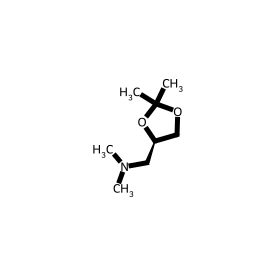 CN(C)C[C@@H]1COC(C)(C)O1